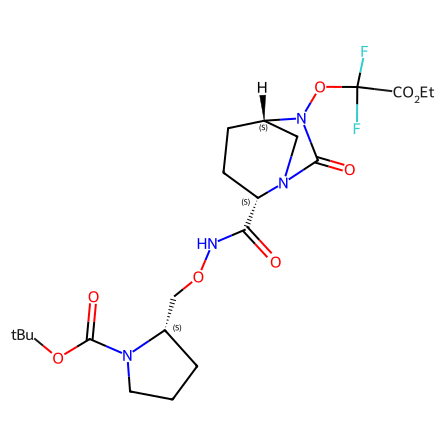 CCOC(=O)C(F)(F)ON1C(=O)N2C[C@@H]1CC[C@H]2C(=O)NOC[C@@H]1CCCN1C(=O)OC(C)(C)C